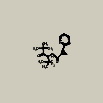 CC(C)(C)C(=O)[C@@H](NC(=O)[C@@H]1CC1c1ccccn1)C(C)(C)C